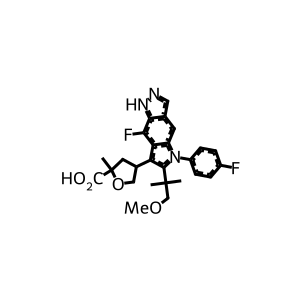 COCC(C)(C)c1c(C2COC(C)(C(=O)O)C2)c2c(F)c3[nH]ncc3cc2n1-c1ccc(F)cc1